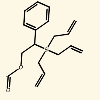 C=CC[Si](CC=C)(CC=C)C(CO[C]=O)c1ccccc1